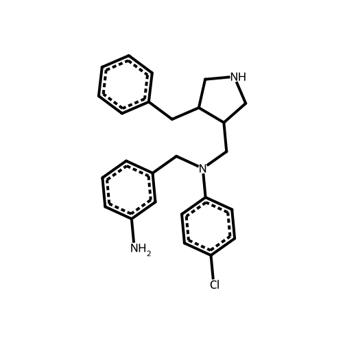 Nc1cccc(CN(CC2CNCC2Cc2ccccc2)c2ccc(Cl)cc2)c1